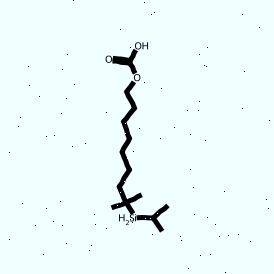 CC(C)[SiH2]C(C)(C)CCCCCCCOC(=O)O